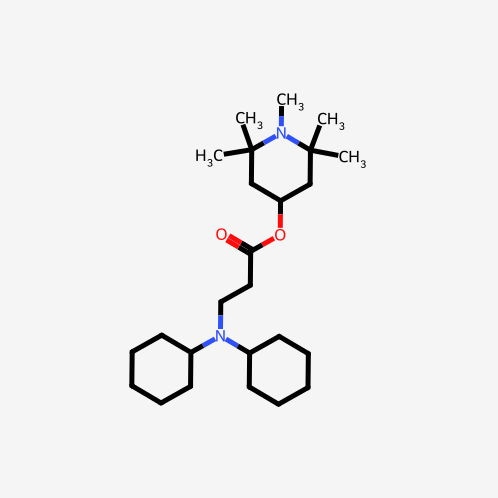 CN1C(C)(C)CC(OC(=O)CCN(C2CCCCC2)C2CCCCC2)CC1(C)C